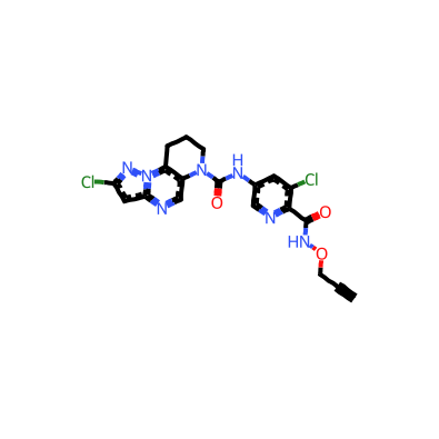 C#CCONC(=O)c1ncc(NC(=O)N2CCCc3c2cnc2cc(Cl)nn32)cc1Cl